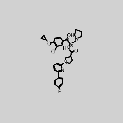 O=C(N[C@H](CN1CCCC1)[C@H](O)c1ccc(OC2CC2)c(Cl)c1)C1CCN(c2cccc(-c3ccc(F)cc3)n2)C1